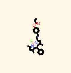 C=CC(=O)Oc1ccc(/C=C/c2cc(C)c3n2B(F)[N+]2=C(C)C=C(C)C2=C3c2ccccc2)cc1